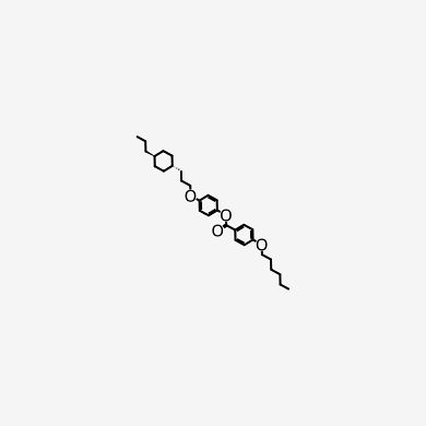 CCCCCCOc1ccc(C(=O)Oc2ccc(OCCC[C@H]3CC[C@H](CCC)CC3)cc2)cc1